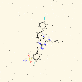 NS(=O)(=O)c1cc(CNc2nc(NCC(F)(F)F)c3nc(-c4ccc(F)cc4)ccc3n2)ccc1F